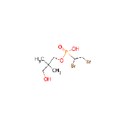 CC(C)(CO)COP(=O)(O)C(Br)CBr